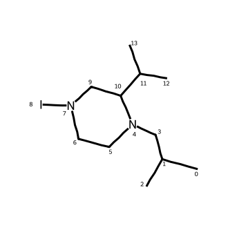 CC(C)CN1CCN(I)CC1C(C)C